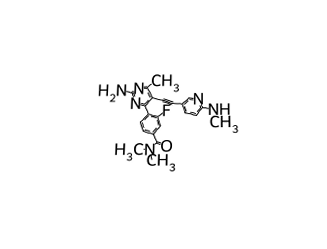 CNc1ccc(C#Cc2c(C)nc(N)nc2-c2ccc(C(=O)N(C)C)cc2F)cn1